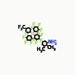 Cc1cccc([NH3+])c1C.Fc1c(F)c(F)c([B-](c2ccc(C(F)(F)F)cc2)(c2c(F)c(F)c(F)c(F)c2F)c2c(F)c(F)c(F)c(F)c2F)c(F)c1F